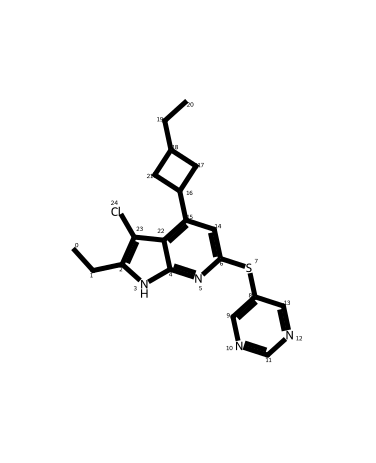 CCc1[nH]c2nc(Sc3cncnc3)cc(C3CC(CC)C3)c2c1Cl